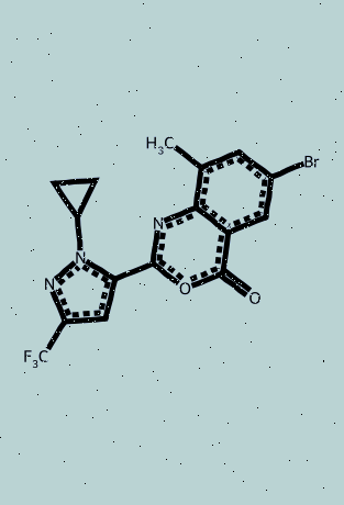 Cc1cc(Br)cc2c(=O)oc(-c3cc(C(F)(F)F)nn3C3CC3)nc12